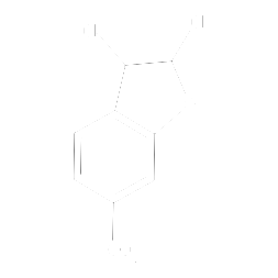 O=C(O)c1ccc2c(c1)OC(Cl)C2Cl